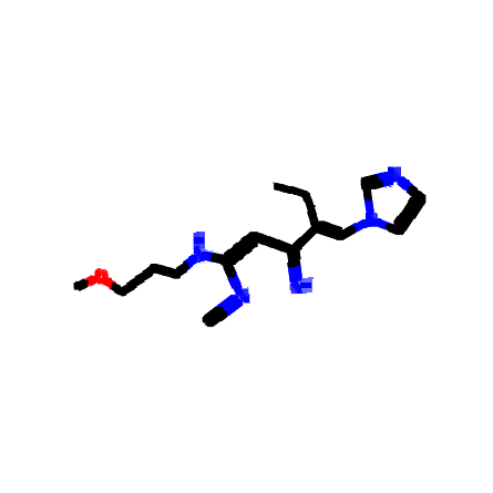 C=N/C(=C\C(=N)/C(=C/n1ccnc1)CC)NCCCOC